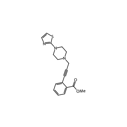 COC(=O)c1ccccc1C#CCN1CCN(c2nccs2)CC1